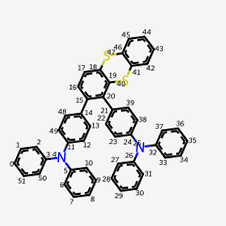 c1ccc(N(c2ccccc2)c2ccc(-c3ccc4c(c3-c3ccc(N(c5ccccc5)c5ccccc5)cc3)Sc3ccccc3S4)cc2)cc1